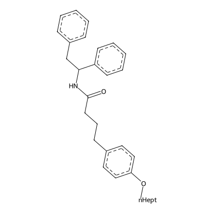 CCCCCCCOc1ccc(CCCC(=O)NC(Cc2ccccc2)c2ccccc2)cc1